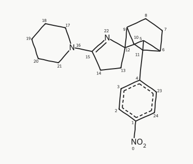 O=[N+]([O-])c1ccc(C2C3CCC(CC3)C23CCC(N2CCCCC2)=N3)cc1